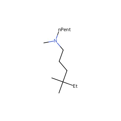 CCCCCN(C)CCCC(C)(C)CC